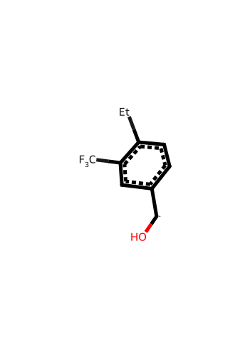 CCc1ccc([CH]O)cc1C(F)(F)F